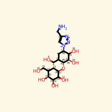 NCc1cn([C@@H]2CC(CO)[C@@H](O[C@@H]3CC(CO)[C@H](O)[C@H](O)C3O)[C@H](O)C2O)nn1